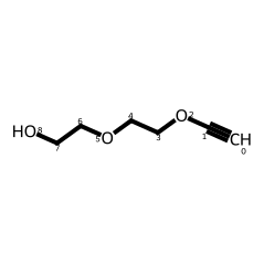 C#COCCOCCO